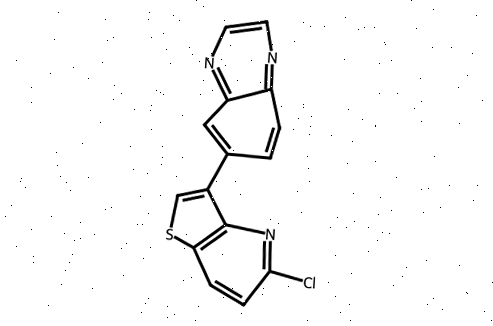 Clc1ccc2scc(-c3ccc4nccnc4c3)c2n1